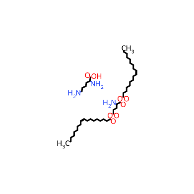 CCCCCCCC/C=C\CCCCCCCC(=O)OC(=O)CCC(N)C(=O)OC(=O)CCCCCCC/C=C\CCCCCCCC.NCCCCC(N)C(=O)O